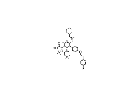 Cc1nc(CN(C)CC2CCCCC2)c(-c2ccc(OCCc3ccc(F)cc3)cc2)c(N2CCC(C)(C)CC2)c1[C@H](OC(C)(C)C)C(=O)O